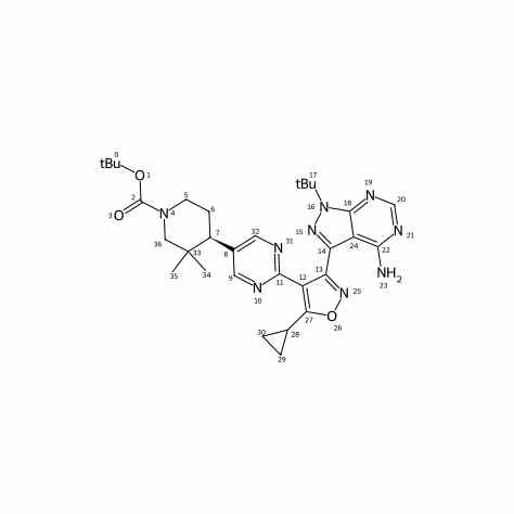 CC(C)(C)OC(=O)N1CC[C@@H](c2cnc(-c3c(-c4nn(C(C)(C)C)c5ncnc(N)c45)noc3C3CC3)nc2)C(C)(C)C1